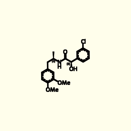 COc1ccc(C[C@@H](C)NC(=O)[C@H](O)c2cccc(Cl)c2)cc1OC